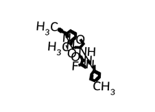 CC#Cc1ccc2c(n1)N(C)C(=O)[C@@H](NC(=O)c1nn(Cc3ccc(C)cc3)cc1F)CO2